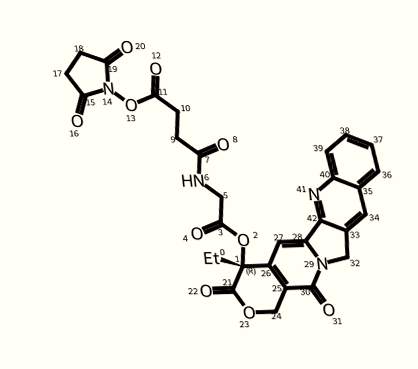 CC[C@]1(OC(=O)CNC(=O)CCC(=O)ON2C(=O)CCC2=O)C(=O)OCc2c1cc1n(c2=O)Cc2cc3ccccc3nc2-1